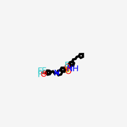 O=S(=O)(Nc1ccc(CCCC2CCCC2)cc1F)c1ccc2c(c1)CCN(CCc1ccc(OC(F)(F)F)cc1)C2